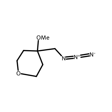 COC1(CN=[N+]=[N-])CCOCC1